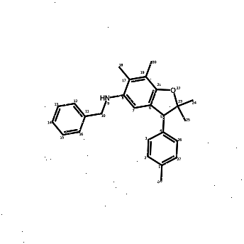 Cc1ccc(C2c3cc(NCc4ccccc4)c(C)c(C)c3OC2(C)C)cc1